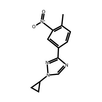 Cc1ccc(-c2ncn(C3CC3)n2)cc1[N+](=O)[O-]